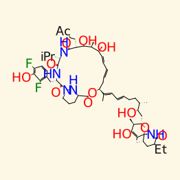 CC[C@H]1C[C@H](C)[C@@]2(NC1=O)O[C@@H](C[C@H](O)[C@@H](C)CC/C=C/C=C(\C)[C@@H]1C/C=C/C=C/[C@H](O)[C@H](C)[C@@H](O)[C@@H](CCC(C)=O)C(=O)N[C@@H](C(C)C)C(=O)N[C@@H](Cc3ccc(F)c(O)c3F)C(=O)N3CCCC(N3)C(=O)O1)[C@H](C)C(O)=C2C